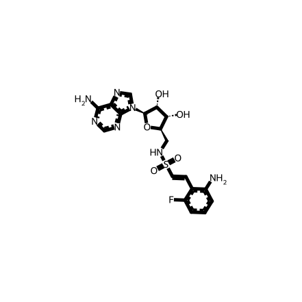 Nc1cccc(F)c1/C=C/S(=O)(=O)NC[C@H]1O[C@@H](n2cnc3c(N)ncnc32)[C@H](O)[C@@H]1O